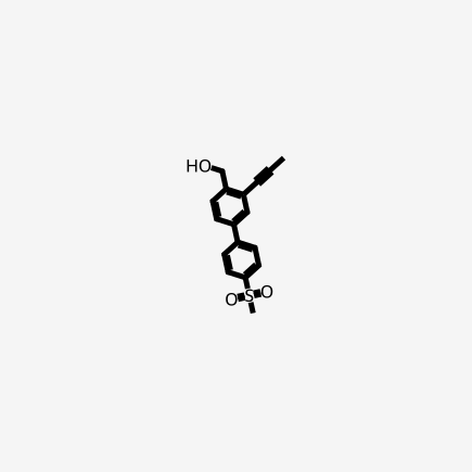 CC#Cc1cc(-c2ccc(S(C)(=O)=O)cc2)ccc1CO